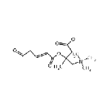 CC(CC(=O)[O-])(C[N+](C)(C)C)OC(=O)C=CC[C]=O